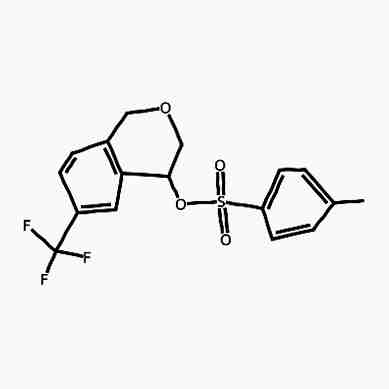 Cc1ccc(S(=O)(=O)OC2COCc3ccc(C(F)(F)F)cc32)cc1